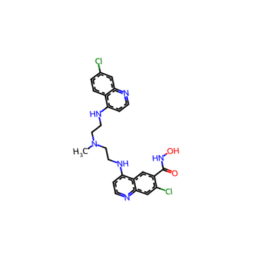 CN(CCNc1ccnc2cc(Cl)ccc12)CCNc1ccnc2cc(Cl)c(C(=O)NO)cc12